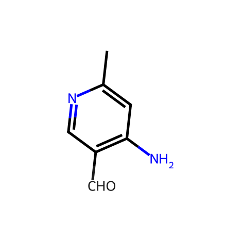 Cc1cc(N)c(C=O)cn1